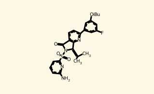 CC(C)=C1c2nc(-c3cc(F)cc(OCC(C)C)c3)ccc2C(=O)N1S(=O)(=O)c1cccc(N)n1